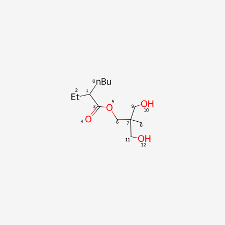 CCCCC(CC)C(=O)OCC(C)(CO)CO